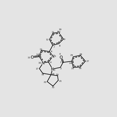 O=C(CN1c2nc(-c3ccncc3)cc(=O)n2CCC12CCCC2)c1ccccc1